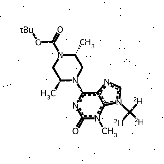 [2H]C([2H])([2H])n1cnc2c(N3C[C@@H](C)N(C(=O)OC(C)(C)C)C[C@@H]3C)nc(=O)n(C)c21